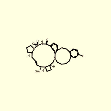 CC(=O)O[C@H]1/C=C/C[C@H]2CCCN2S(=O)(=O)NC(=O)c2ccc3c(c2)N(CCCCc2cc(Cl)ccc2CO3)C[C@@H]2CC[C@H]21